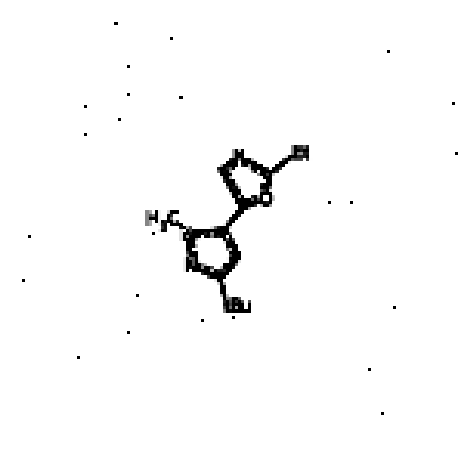 CCc1ncc(-c2cc(C(C)(C)C)nn2C)o1